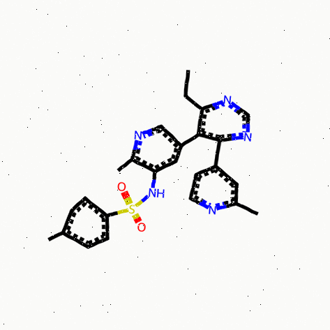 CCc1ncnc(-c2ccnc(C)c2)c1-c1cnc(C)c(NS(=O)(=O)c2ccc(C)cc2)c1